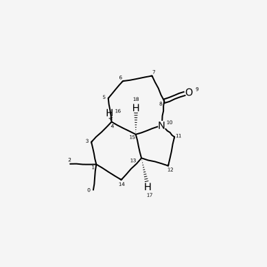 CC1(C)C[C@H]2CCCC(=O)N3CC[C@@H](C1)[C@@H]23